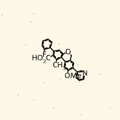 COc1cc2c(cc1-c1cccnc1)COc1cc(-c3ccccc3F)c(C(=O)O)c(C)c1-2